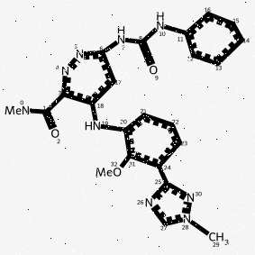 CNC(=O)c1nnc(NC(=O)Nc2ccccc2)cc1Nc1cccc(-c2ncn(C)n2)c1OC